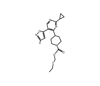 CCCCOC(=O)N1CCC(c2nc(C3CC3)ncc2-c2cc(C)no2)CC1